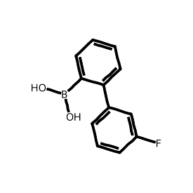 OB(O)c1ccccc1-c1cccc(F)c1